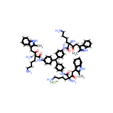 Cc1[nH]c2ccccc2c1CC(=O)[C@](N)(CCCCN)C(=O)Nc1ccc(C(c2ccc(NC(=O)[C@@](N)(CCCCN)C(=O)Cc3c(C)[nH]c4ccccc34)cc2)c2ccc(NC(=O)[C@@](N)(CCCCN)C(=O)Cc3c(C)[nH]c4ccccc34)cc2)cc1.Cl